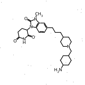 Cn1c(=O)n(C2CCC(=O)NC2=O)c2ccc(CCCC3CCN(CC4CCC(N)CC4)CC3)cc21